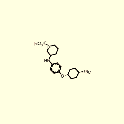 CC(C)(C)[C@H]1CC[C@H](Oc2ccc(NC3CCCN(C(=O)O)C3)cc2)CC1